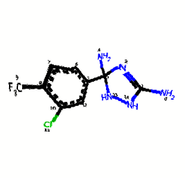 NC1=NC(N)(c2ccc(C(F)(F)F)c(Cl)c2)NN1